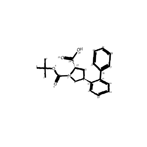 CC(C)(C)OC(=O)N1C[C@H](c2ccccc2-c2ccccc2)C[C@H]1C(=O)O